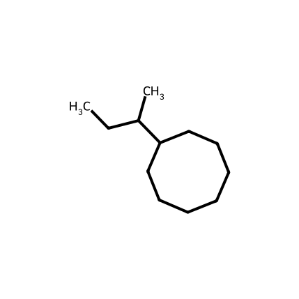 CCC(C)C1CCCCCCC1